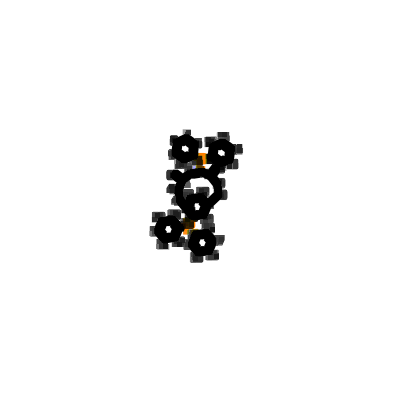 C=C1/C=C(/P(c2ccccc2)c2ccccc2)C(=C)CCc2ccc(c(P(c3ccccc3)c3ccccc3)c2)CC1